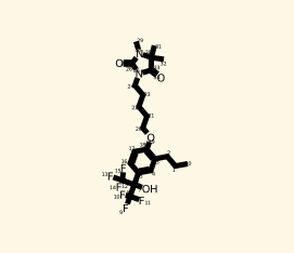 CCCc1cc(C(O)(C(F)(F)F)C(F)(F)F)ccc1OCCCCCN1C(=O)N(C)C(C)(C)C1=O